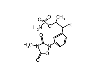 CCC(c1cccc(-n2oc(=O)n(C)c2=O)c1)C(C)OS(N)(=O)=O